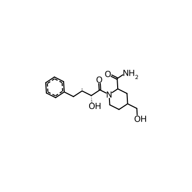 NC(=O)C1CC(CO)CCN1C(=O)[C@H](O)[CH]Cc1ccccc1